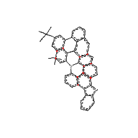 CC(C)(C)c1cc(-c2cccc3cccc(-c4ccccc4N(c4ccccc4-c4ccccc4)c4ccccc4-c4ccc5c(c4)oc4ccccc45)c23)cc(C(C)(C)C)c1